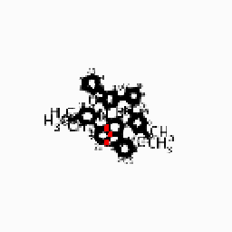 CC(C)(C)c1ccc(N2B3c4cc5c(cc4N(c4ccc(C(C)(C)C)cc4-c4ccccc4)c4c3c(cc3c4oc4ccccc43)-c3ccccc32)sc2ccccc25)cc1